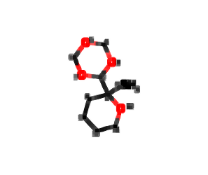 [SiH3]C1(C2OCOCO2)CCCCO1